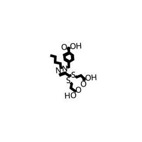 CCCCc1ncc(C(SCCC(=O)O)SCCC(=O)O)n1Cc1ccc(C(=O)O)cc1